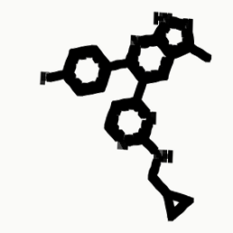 Cc1n[nH]c2nc(-c3ccc(F)cc3)c(-c3ccnc(NCC4CC4)n3)cc12